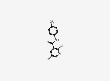 O=C(Nc1ccc(C(F)(F)F)cc1)c1cc(F)cnc1Cl